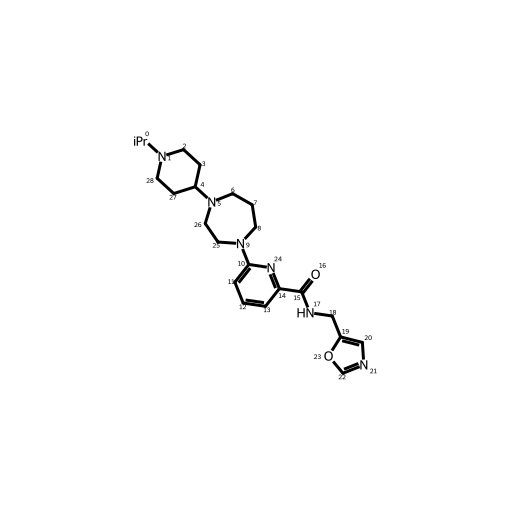 CC(C)N1CCC(N2CCCN(c3cccc(C(=O)NCc4cnco4)n3)CC2)CC1